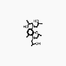 Cc1ccc(N(CC(C)O)CC(C)O)cc1N(CC(C)O)CC(C)O